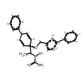 CC(N(O)C(N)=O)C1(OCc2csc(-c3ccccc3)n2)C=CC(c2ccccc2)C=C1